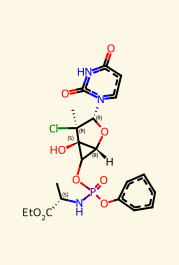 CCOC(=O)[C@H](C)NP(=O)(Oc1ccccc1)OC1[C@H]2O[C@@H](n3ccc(=O)[nH]c3=O)[C@](C)(Cl)[C@@]12O